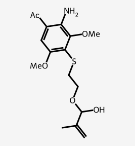 C=C(C)C(O)OCCSc1c(OC)cc(C(C)=O)c(N)c1OC